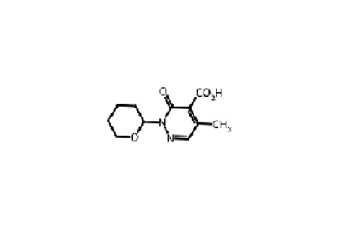 Cc1cnn(C2CCCCO2)c(=O)c1C(=O)O